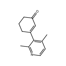 Cc1ccnc(C)c1C1=CC(=O)CCC1